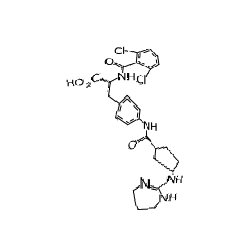 O=C(N[C@@H](Cc1ccc(NC(=O)[C@H]2CC[C@H](NC3=NCCCN3)C2)cc1)C(=O)O)c1c(Cl)cccc1Cl